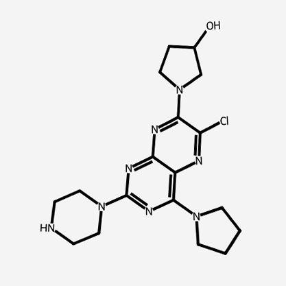 OC1CCN(c2nc3nc(N4CCNCC4)nc(N4CCCC4)c3nc2Cl)C1